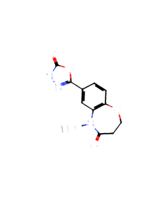 CN1C(=O)CCOc2ccc(-c3n[nH]c(=O)o3)cc21